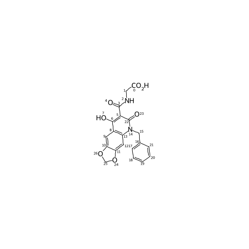 O=C(O)CNC(=O)c1c(O)c2cc3c(cc2n(Cc2ccccc2)c1=O)OCO3